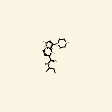 CCC(C)NC(=O)c1ccn2ncc(N3CCOCC3)c2n1